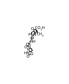 Cn1cc(C(=O)O)c(=O)c2cc(F)c(N3CC(NC[C@@H]4CN(c5ccc6c(n5)NC(=O)CO6)C(=O)O4)C3)nc21